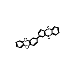 c1ccc2c(c1)Oc1ccc(-c3ccc4c(c3)Sc3ccccc3S4)cc1O2